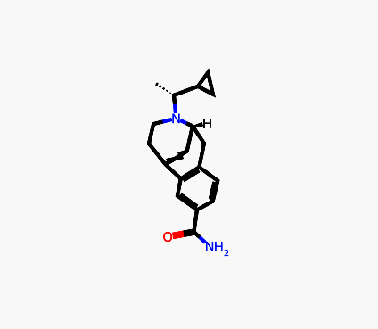 C[C@H](C1CC1)N1CCC23CCCCC2[C@H]1Cc1ccc(C(N)=O)cc13